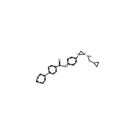 O=C(Nc1ccc([C@H]2C[C@@H]2NCC2CC2)cc1)c1ccc(-c2ccccc2)cc1